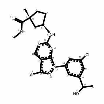 CNC(=O)[C@]1(C)CC[C@@H](Nc2ncc3c(Br)nn(-c4cc(Cl)cc(C(C)O)c4)c3n2)C1